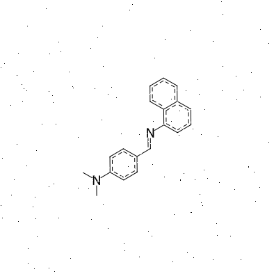 CN(C)c1ccc(C=Nc2cccc3ccccc23)cc1